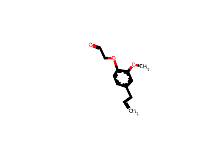 C=CCc1ccc(OCC=O)c(OC)c1